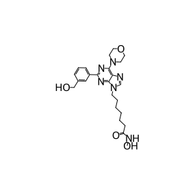 O=C(CCCCCCn1cnc2c(N3CCOCC3)nc(-c3cccc(CO)c3)nc21)NO